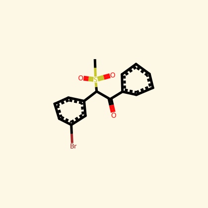 CS(=O)(=O)C(C(=O)c1ccccc1)c1cccc(Br)c1